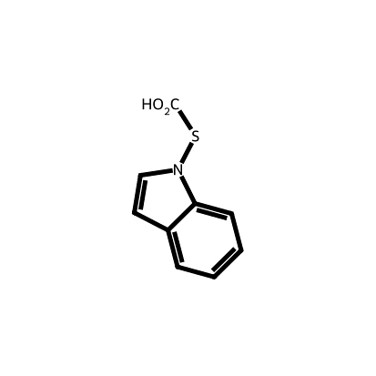 O=C(O)Sn1ccc2ccccc21